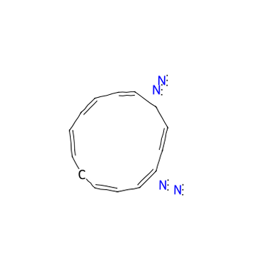 C1=CC=CCC=CC=CC=CCC=C1.[N].[N].[N].[N]